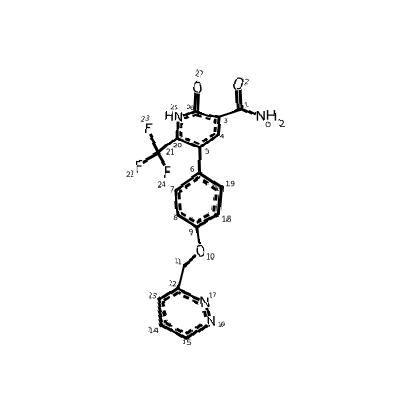 NC(=O)c1cc(-c2ccc(OCc3cccnn3)cc2)c(C(F)(F)F)[nH]c1=O